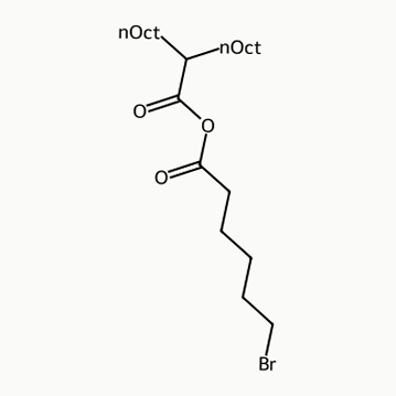 CCCCCCCCC(CCCCCCCC)C(=O)OC(=O)CCCCCBr